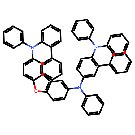 c1ccc(-c2ccccc2N(c2ccccc2)c2ccc3oc4ccc(N(c5ccccc5)c5ccc(N(c6ccccc6)c6ccccc6)c(-c6ccccc6)c5)cc4c3c2)cc1